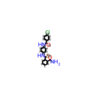 NC(=O)c1ccccc1C(=S)Nc1ccc(NC(=O)c2ccc(Cl)cc2)cc1